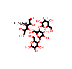 O=CC(O)C(O)C(O)C(O)CO.OCC1OC(OC2C(CO)OC(OC3C(CO)OC(O)C(O)C3O)C(O)C2O)C(O)C(O)C1O.[AlH3].[MgH2]